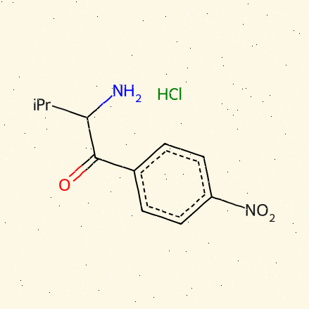 CC(C)C(N)C(=O)c1ccc([N+](=O)[O-])cc1.Cl